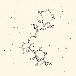 CC(=O)C1=C(NC(=O)CCc2cccc(-c3ccc(O)cc3)c2)CCCC1